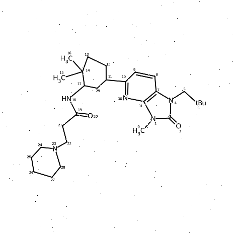 Cn1c(=O)n(CC(C)(C)C)c2ccc(C3CCC(C)(C)C(NC(=O)CCN4CCCCC4)C3)nc21